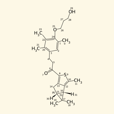 Cc1cc(CCC(=O)c2sc(C)c3c2C[C@@H]2[C@H]3C2(C)C)c(C)c(C)c1OCCCO